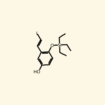 CC[Si](CC)(CC)Oc1ccc(O)cc1/C=C/I